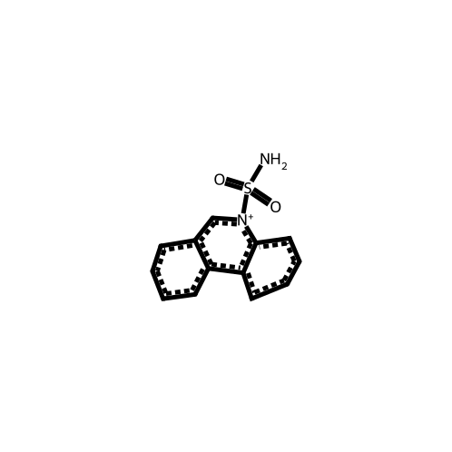 NS(=O)(=O)[n+]1cc2ccccc2c2ccccc21